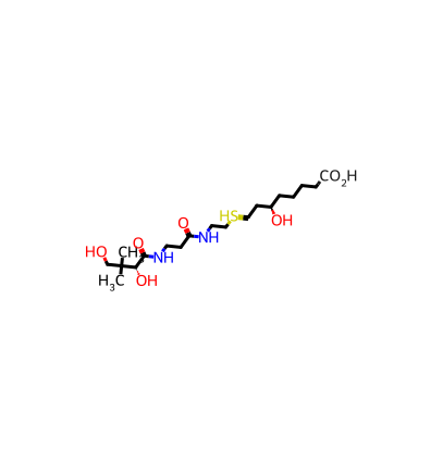 CC(C)(CO)[C@@H](O)C(=O)NCCC(=O)NCC[SH]=CC[C@H](O)CCCCC(=O)O